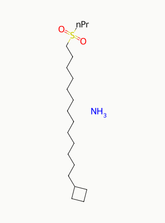 CCCS(=O)(=O)CCCCCCCCCCCCCC1CCC1.N